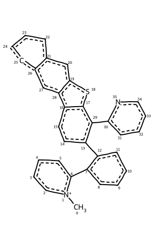 C[n+]1ccccc1-c1ccccc1-c1ccc2c(sc3cc4ccccc4cc32)c1-c1ccccn1